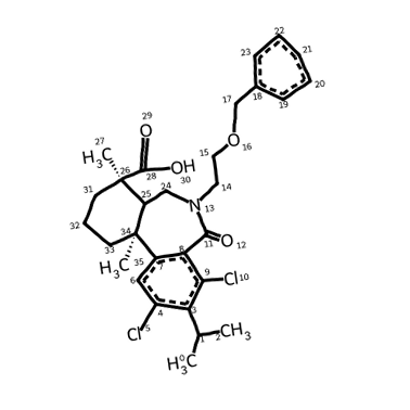 CC(C)c1c(Cl)cc2c(c1Cl)C(=O)N(CCOCc1ccccc1)CC1[C@](C)(C(=O)O)CCC[C@]21C